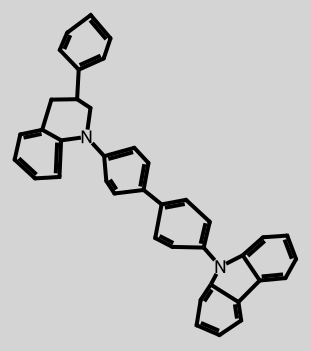 c1ccc(C2Cc3ccccc3N(c3ccc(-c4ccc(-n5c6ccccc6c6ccccc65)cc4)cc3)C2)cc1